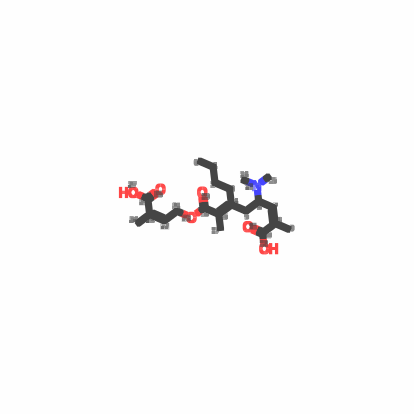 CCCCC(CC(C=C(C)C(=O)O)N(C)C)=C(C)C(=O)OCC=C(C)C(=O)O